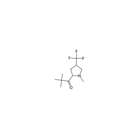 CN1CC(C(F)(F)F)CC1C(=O)C(C)(C)C